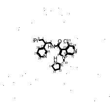 CC(C)CC(CNC(=O)c1cn(C[C@@H]2CCCN2)c2cncc(Cl)c12)c1cccnc1